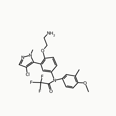 COc1ccc(N(C(=O)C(F)(F)F)c2ccc(OCCN)c(-c3c(Cl)cnn3C)c2)cc1C